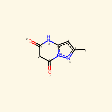 Cc1cc2n(n1)C(=O)CC(=O)N2